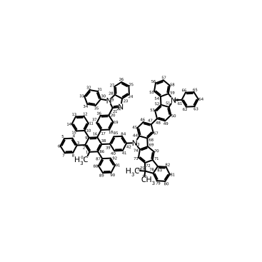 Cc1c(-c2ccccc2)c(-c2ccccc2)c(-c2ccc(-c3nc4ccccc4n3-c3ccccc3)cc2)c(-c2ccc(-n3c4ccc(-c5ccc6c(c5)c5ccccc5n6-c5ccccc5)cc4c4cc5c(cc43)C(C)(C)c3ccccc3-5)cc2)c1-c1ccccc1